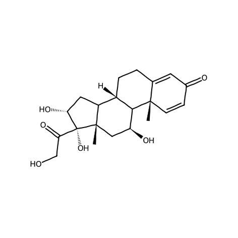 C[C@]12C=CC(=O)C=C1CC[C@@H]1C2[C@@H](O)C[C@@]2(C)C1C[C@@H](O)[C@]2(O)C(=O)CO